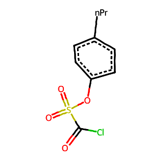 CCCc1ccc(OS(=O)(=O)C(=O)Cl)cc1